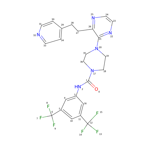 O=C(Nc1cc(C(F)(F)F)cc(C(F)(F)F)c1)N1CCN(c2nccnc2CCc2ccncc2)CC1